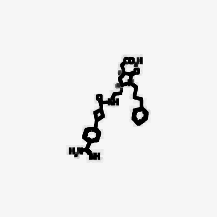 N=C(N)c1ccc(C2CC(C(=O)NCC[C@@H]3C[C@@H](CC(=O)O)C(=O)N3CCCc3ccccc3)C2)cc1